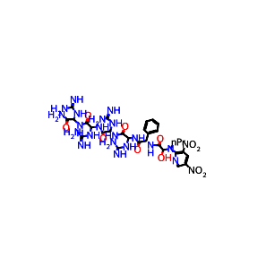 CCCN(c1ncc([N+](=O)[O-])cc1[N+](=O)[O-])C(O)C(=O)NC(C(=O)NC(NC(=N)N)C(=O)NC(NC(=N)N)C(=O)NC(NC(=N)N)C(=O)NC(NC(=N)N)C(N)=O)c1ccccc1